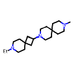 CCN1CCC2(CC1)CC(N1CCC3(CCN(C)CC3)CC1)C2